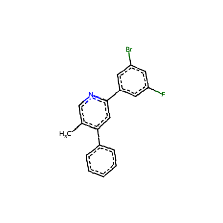 Cc1cnc(-c2cc(F)cc(Br)c2)cc1-c1ccccc1